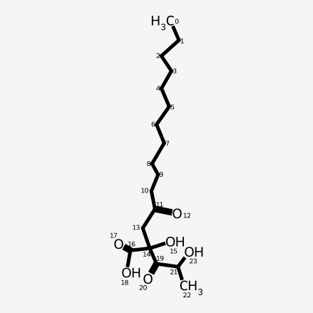 CCCCCCCCCCCC(=O)CC(O)(C(=O)O)C(=O)C(C)O